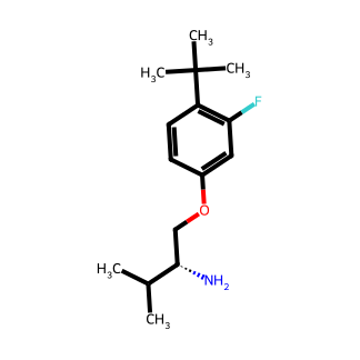 CC(C)[C@@H](N)COc1ccc(C(C)(C)C)c(F)c1